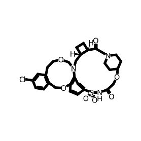 O=C1COC2CCN(CC2)C(=O)[C@@H]2CC[C@H]2CN2COCCc3cc(Cl)ccc3COc3ccc(cc32)S(=O)(=O)N1